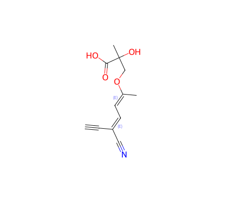 C#C/C(C#N)=C\C=C(/C)OCC(C)(O)C(=O)O